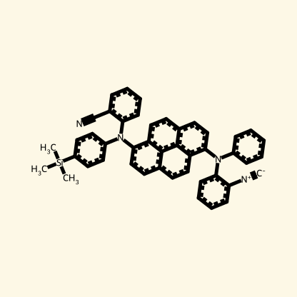 [C-]#[N+]c1ccccc1N(c1ccccc1)c1ccc2ccc3c(N(c4ccc([Si](C)(C)C)cc4)c4ccccc4C#N)ccc4ccc1c2c43